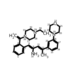 C=C(c1ccccc1/C=C(N)/C=C(\C)c1cccc(N2CCOCC2)c1)N1CCN(CC)CC1